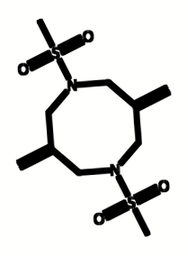 C=C1CN(S(C)(=O)=O)CC(=C)CN(S(C)(=O)=O)C1